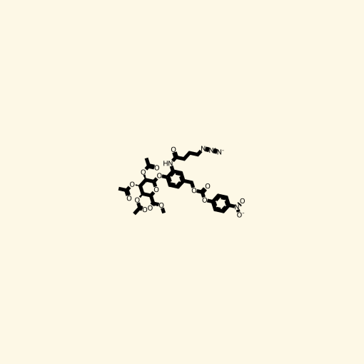 COC(=O)C1OC(Oc2ccc(COC(=O)Oc3ccc([N+](=O)[O-])cc3)cc2NC(=O)CCCN=[N+]=[N-])[C@H](OC(C)=O)[C@@H](OC(C)=O)[C@@H]1OC(C)=O